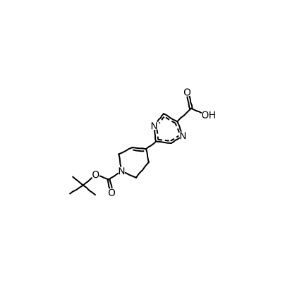 CC(C)(C)OC(=O)N1CC=C(c2cnc(C(=O)O)cn2)CC1